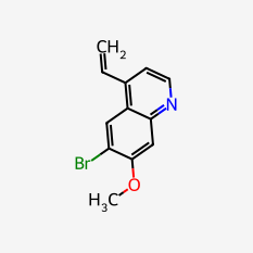 C=Cc1ccnc2cc(OC)c(Br)cc12